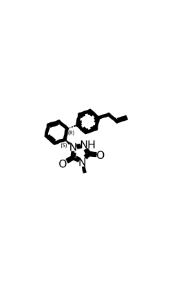 C=CCc1ccc([C@H]2C=CC=C[C@@H]2n2[nH]c(=O)n(C)c2=O)cc1